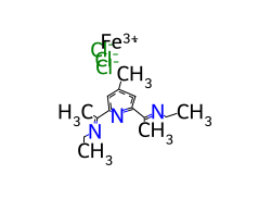 CCN=C(C)c1cc(C)cc(C(C)=NCC)n1.[Cl-].[Cl-].[Cl-].[Fe+3]